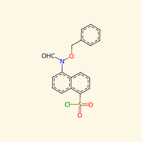 O=CN(OCc1ccccc1)c1cccc2c(S(=O)(=O)Cl)cccc12